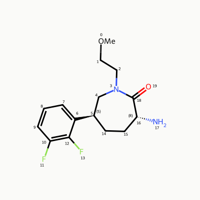 COCCN1C[C@H](c2cccc(F)c2F)CC[C@@H](N)C1=O